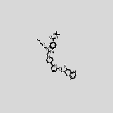 CCCOCn1c(CN2CCC(c3cccc(OCc4cc5nccnc5cc4F)n3)CC2)nc2ccc(C(=O)OC(C)(C)C)cc21